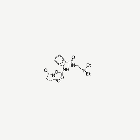 CCN(CC)CCNC(=O)C1c2cccc(c2)C1NC(=O)ON1C(=O)CCC1=O